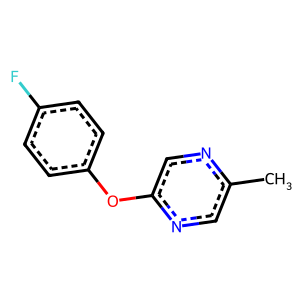 Cc1cnc(Oc2ccc(F)cc2)cn1